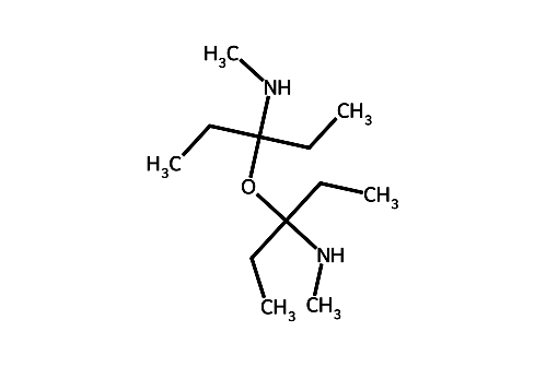 CCC(CC)(NC)OC(CC)(CC)NC